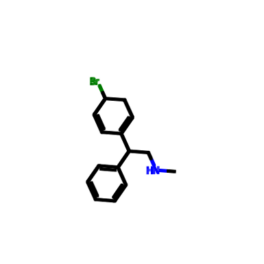 CNCC(C1=CCC(Br)C=C1)c1ccccc1